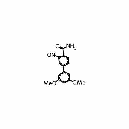 COc1cc(OC)cc(-c2ccc(C(N)=O)c(N=O)c2)c1